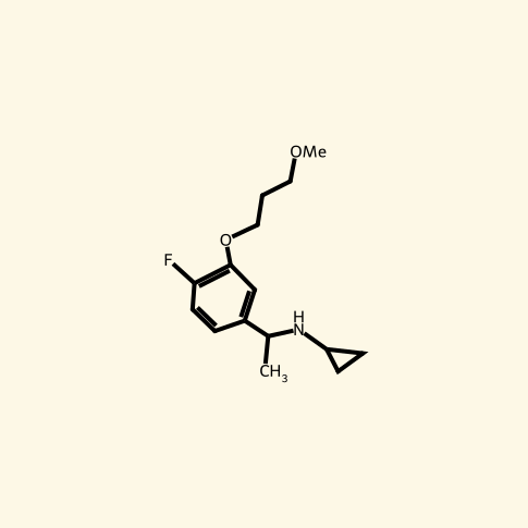 COCCCOc1cc(C(C)NC2CC2)ccc1F